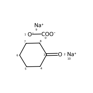 O=C([O-])[O-].O=C1CCCCC1.[Na+].[Na+]